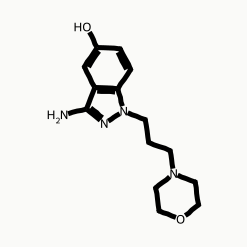 Nc1nn(CCCN2CCOCC2)c2ccc(O)cc12